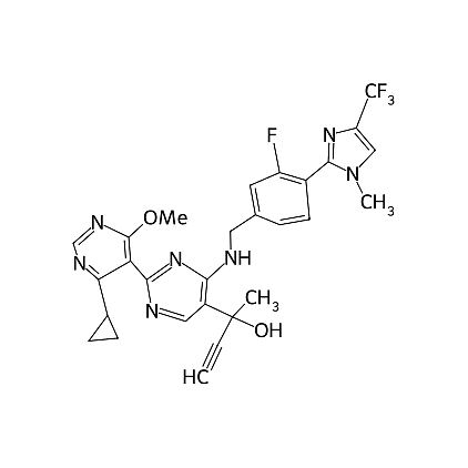 C#CC(C)(O)c1cnc(-c2c(OC)ncnc2C2CC2)nc1NCc1ccc(-c2nc(C(F)(F)F)cn2C)c(F)c1